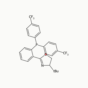 CC(C)(C)C1COC(c2ccccc2P(c2ccc(C(F)(F)F)cc2)c2ccc(C(F)(F)F)cc2)=N1